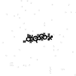 CC[C@@H]1CN[C@H]2[C@@H](C)[C@@]3(CC[C@@H]4C(=C(C)C3)C[C@H]3[C@H]4CC[C@@H]4C[C@H](NS(C)(=O)=O)CC[C@@]43C)O[C@@H]2C1